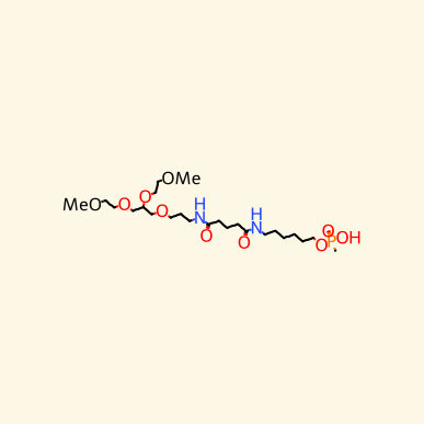 COCCOCC(COCCCNC(=O)CCCC(=O)NCCCCCCOP(C)(=O)O)OCCOC